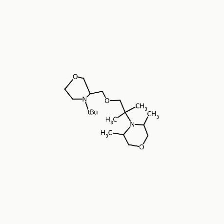 CC1COCC(C)N1C(C)(C)COCC1COCCN1C(C)(C)C